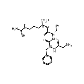 CC(C)C[C@H](NC(=O)[C@H](Cc1ccccc1)NC(=O)CN)C(=O)N[C@@H](CCCNC(=N)N)C(=O)O